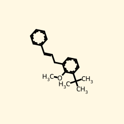 COc1c(CC=Cc2ccccc2)cccc1C(C)(C)C